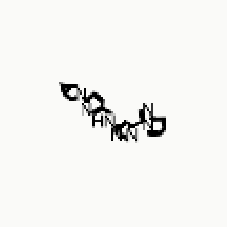 c1ccn2c(-c3cc(NCc4ccc(N5CC6CC6C5)nc4)ncn3)cnc2c1